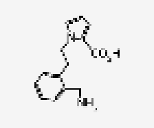 NCc1ccccc1CCn1cccc1C(=O)O